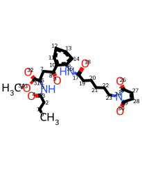 CCCC(=O)NC(CC(=O)c1ccccc1NC(=O)CCCCCN1C(=O)C=CC1=O)C(=O)OC